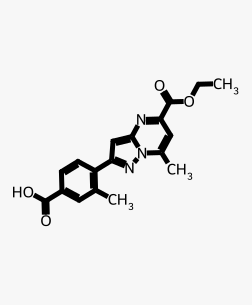 CCOC(=O)c1cc(C)n2nc(-c3ccc(C(=O)O)cc3C)cc2n1